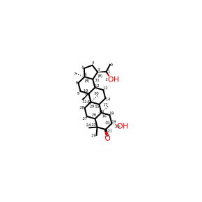 CC(O)[C@@H]1CC[C@]2(C)CC[C@]3(C)C(CCC4[C@@]5(C)C[C@H](O)C(=O)C(C)(C)C5CC[C@]43C)C12